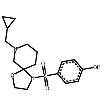 O=S(=O)(c1ccc(O)cc1)N1CCOC12CCCN(CC1CC1)C2